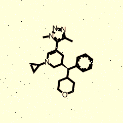 Cc1nnn(C)c1C1=CN(C2CC2)CC([C@@H](c2ccccc2)C2CCOCC2)C1